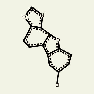 Clc1ccc2oc3c(ccc4ocnc43)c2c1